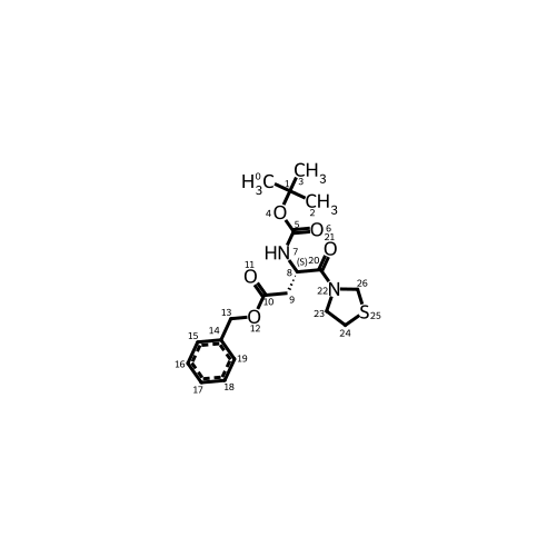 CC(C)(C)OC(=O)N[C@@H](CC(=O)OCc1ccccc1)C(=O)N1CCSC1